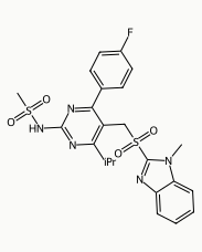 CC(C)c1nc(NS(C)(=O)=O)nc(-c2ccc(F)cc2)c1CS(=O)(=O)c1nc2ccccc2n1C